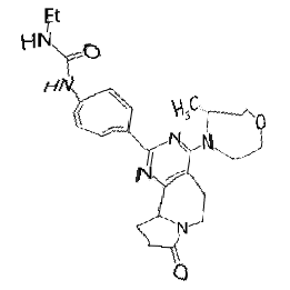 CCNC(=O)Nc1ccc(-c2nc3c(c(N4CCOC[C@H]4C)n2)CCN2C(=O)CCC32)cc1